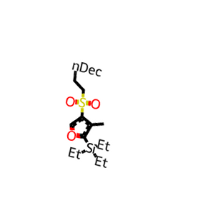 CCCCCCCCCCCCS(=O)(=O)c1coc([Si](CC)(CC)CC)c1C